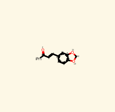 CC(C)C(=O)/C=C/c1ccc2c(c1)OCO2